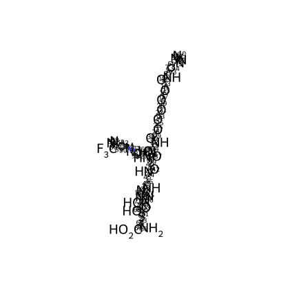 Cc1nnc(-c2ccc(CNC(=O)CCOCCOCCOCCOCCOCCC(=O)NCCNC(=O)[C@@H](CCC(=O)NCCCCNc3ncnc4c3ncn4C3OC(CSCCC(N)C(=O)O)C(O)C3O)NC(=O)c3ccc(/N=N/c4ccc(C5(C(F)(F)F)N=N5)cc4)cc3)cc2)nn1